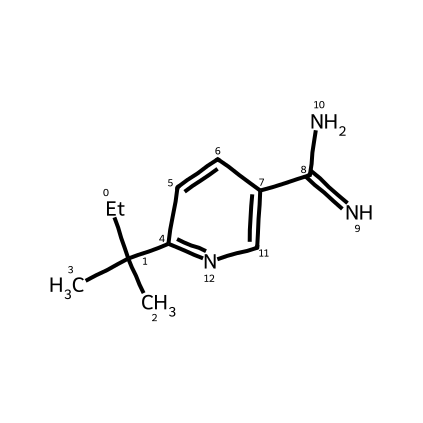 CCC(C)(C)c1ccc(C(=N)N)cn1